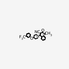 Cn1c(=O)c(C#N)c(N2CCC(Oc3cccc(C(F)(F)F)c3)CC2)c2ccccc21